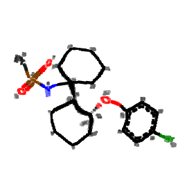 CC(C)S(=O)(=O)NC1([C@@H]2CCCC[C@H]2Oc2ccc(Br)cc2)CCCCC1